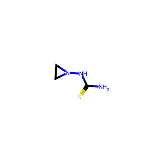 NC(=S)NN1CC1